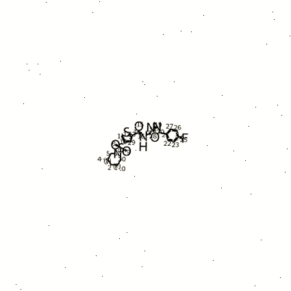 C[C@@H]1C[C@H](C)CN(S(=O)(=O)c2csc(C(=O)Nc3nnc(-c4ccc(F)cc4)o3)c2)C1